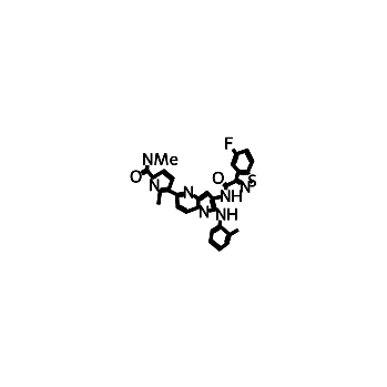 CNC(=O)c1ccc(-c2ccc3nc(Nc4ccccc4C)c(NC(=O)c4nsc5ccc(F)cc45)cc3n2)c(C)n1